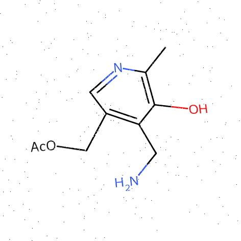 CC(=O)OCc1cnc(C)c(O)c1CN